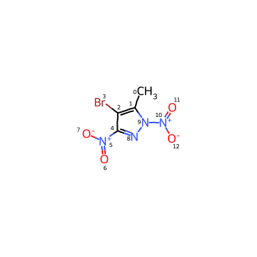 Cc1c(Br)c([N+](=O)[O-])nn1[N+](=O)[O-]